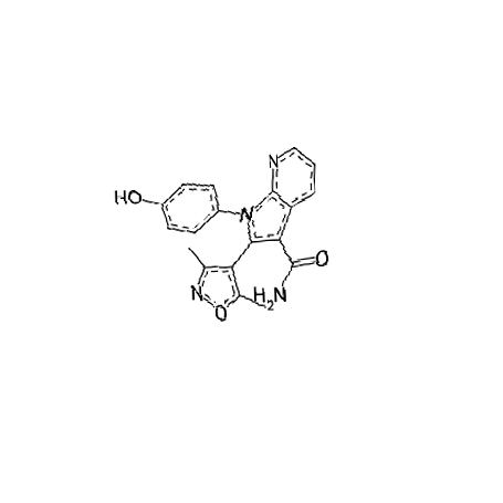 Cc1noc(C)c1-c1c(C(N)=O)c2cccnc2n1-c1ccc(O)cc1